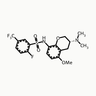 COc1ccc(NS(=O)(=O)c2cc(C(F)(F)F)ccc2F)c2c1C[C@@H](N(C)C)CO2